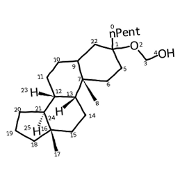 CCCCCC1(OCO)CC[C@@]2(C)C(CC[C@@H]3[C@H]2CC[C@]2(C)CCC[C@@H]32)C1